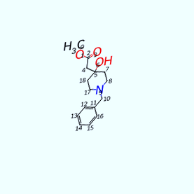 COC(=O)CC1(O)CCN(Cc2ccccc2)CC1